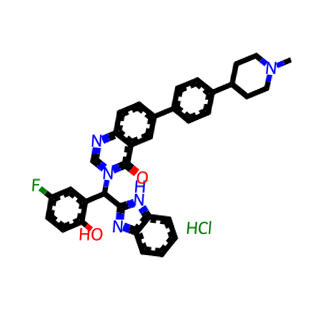 CN1CCC(c2ccc(-c3ccc4ncn(C(c5nc6ccccc6[nH]5)c5cc(F)ccc5O)c(=O)c4c3)cc2)CC1.Cl